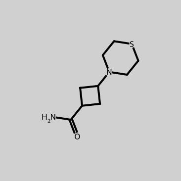 NC(=O)C1CC(N2CCSCC2)C1